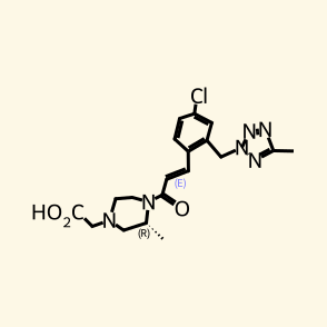 Cc1nnn(Cc2cc(Cl)ccc2/C=C/C(=O)N2CCN(CC(=O)O)C[C@H]2C)n1